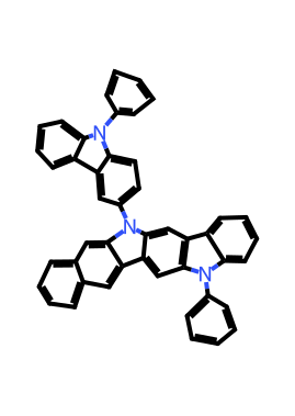 c1ccc(-n2c3ccccc3c3cc(-n4c5cc6ccccc6cc5c5cc6c(cc54)c4ccccc4n6-c4ccccc4)ccc32)cc1